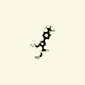 CCOC(=O)c1cc(-c2ccc(C(F)(F)F)cc2)sc1CC